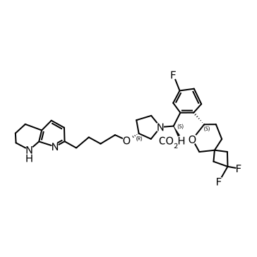 O=C(O)[C@H](c1cc(F)ccc1[C@@H]1CCC2(CO1)CC(F)(F)C2)N1CC[C@@H](OCCCCc2ccc3c(n2)NCCC3)C1